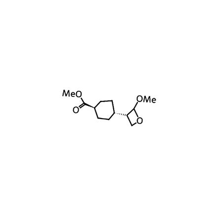 COC(=O)[C@H]1CC[C@H](C2COC2OC)CC1